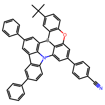 CC(C)(C)c1ccc2c(c1)B1c3c(cc(-c4ccc(C#N)cc4)cc3-n3c4ccc(-c5ccccc5)cc4c4cc(-c5ccccc5)cc1c43)O2